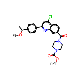 CCCOC(=O)N1CCN(C(=O)c2ccc3c(Cl)cc(-c4ccc(C(C)OCC)cc4)nc3c2)CC1